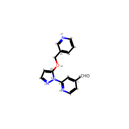 O=Cc1ccnc(-n2nccc2OCc2cccnc2)c1